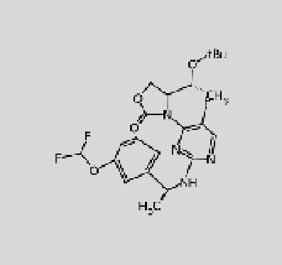 C[C@H](Nc1ncc(F)c(N2C(=O)OCC2[C@@H](C)OC(C)(C)C)n1)c1cccc(OC(F)F)c1